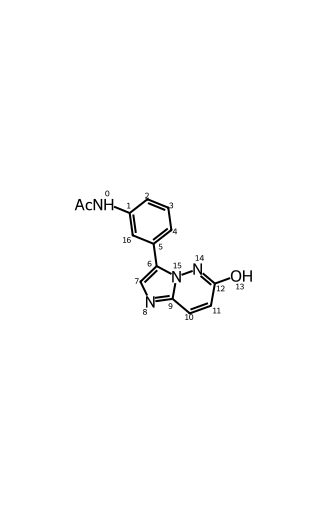 CC(=O)Nc1cccc(-c2cnc3ccc(O)nn23)c1